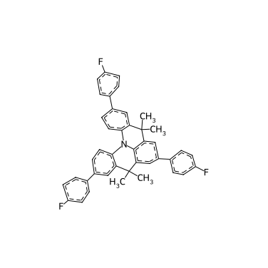 CC1(C)c2cc(-c3ccc(F)cc3)ccc2N2c3ccc(-c4ccc(F)cc4)cc3C(C)(C)c3cc(-c4ccc(F)cc4)cc1c32